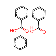 O=C(O)c1ccccc1.O=C(O)c1ccccc1.c1ccccc1